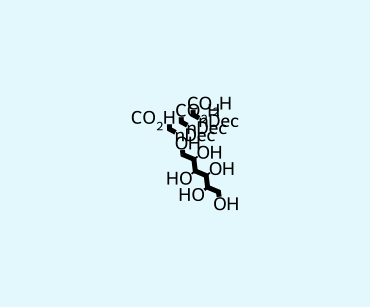 CCCCCCCCCCCC(=O)O.CCCCCCCCCCCC(=O)O.CCCCCCCCCCCC(=O)O.OC[C@@H](O)[C@@H](O)[C@H](O)[C@@H](O)CO